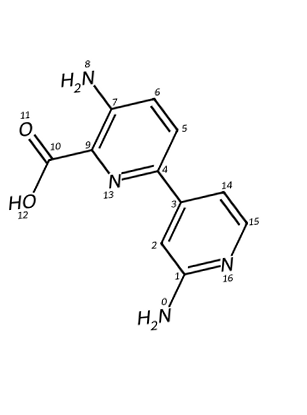 Nc1cc(-c2ccc(N)c(C(=O)O)n2)ccn1